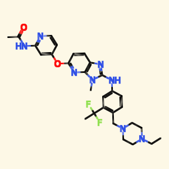 CCN1CCN(Cc2ccc(Nc3nc4ccc(Oc5ccnc(NC(C)=O)c5)nc4n3C)cc2C(C)(F)F)CC1